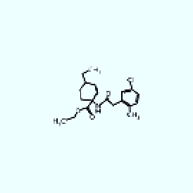 CCOC(=O)C1(NC(=O)Cc2cc(Cl)ccc2C)CCC(CC)CC1